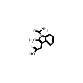 Cc1c(CC(=O)O)c2ccccc2n1C(N)=O